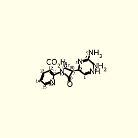 N=CC(N=C(N)N)[C@H]1C(=O)N(c2ccccn2)[C@@H]1C(=O)O